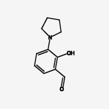 O=Cc1cccc(N2CCCC2)c1O